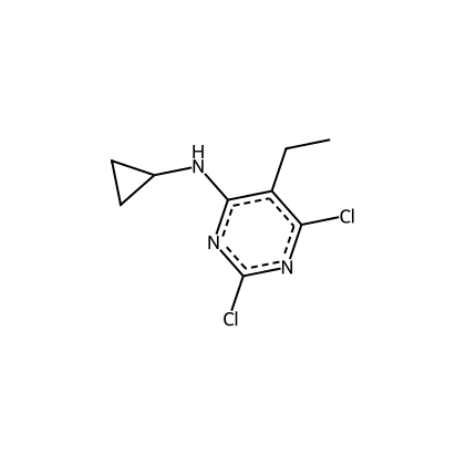 CCc1c(Cl)nc(Cl)nc1NC1CC1